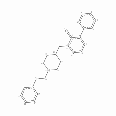 O=c1c(-c2ccccc2)ccnn1CC1CCN(CCc2ccccc2)CC1